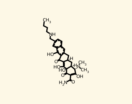 CCCCNCc1ccc2cc3c(c(O)c2c1)C(=O)C1=C(O)[C@]2(O)C(=O)C(C(N)=O)=C(O)[C@@H](N(C)C)[C@@H]2C[C@@H]1C3